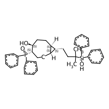 CC(C)(CC[C@H]1[C@@H]2CC[C@H](O)[C@@H](P(=O)(c3ccccc3)c3ccccc3)CC[C@@H]21)[Si](O)(c1ccccc1)c1ccccc1